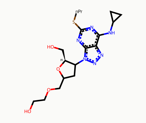 CCCSc1nc(NC2CC2)c2nnn(C3CC(COCCO)O[C@H]3CO)c2n1